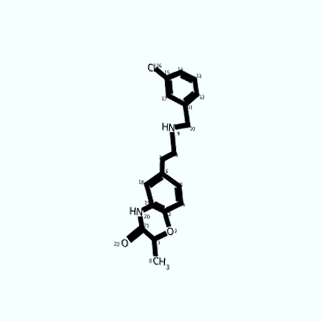 CC1Oc2ccc(CCNCc3cccc(Cl)c3)cc2NC1=O